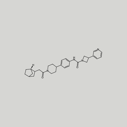 O=C(CC1CC2CC[C@H]1C2)N1CCC(c2ccc(NC(=O)N3CC(c4cccnc4)C3)cc2)CC1